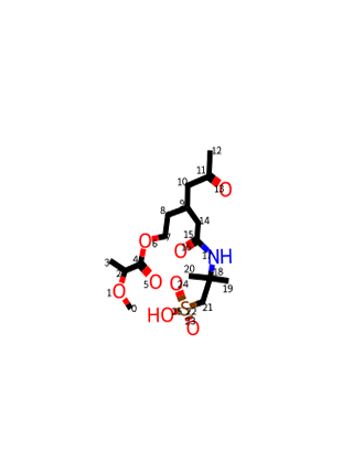 COC(C)C(=O)OCCC(CC(C)=O)CC(=O)NC(C)(C)CS(=O)(=O)O